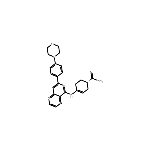 NC(=O)[C@@H]1CC=C(Nc2nc(-c3ccc(N4CCOCC4)cc3)cc3nccnc23)CC1